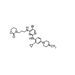 CN1CCN(c2ccc(Nc3ncc(Br)c(NCCCN4CCCOC4=O)n3)c(C3CC3)c2)CC1